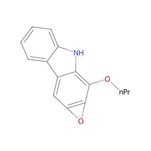 CCCOc1c2c(cc3c1[nH]c1ccccc13)O2